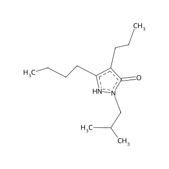 CCCCc1[nH]n(CC(C)C)c(=O)c1CCC